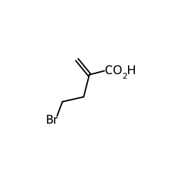 C=C(CCBr)C(=O)O